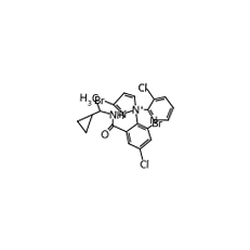 CC(NC(=O)c1cc(Cl)cc(Br)c1[N+]1(c2ncccc2Cl)C=CC(Br)=N1)C1CC1